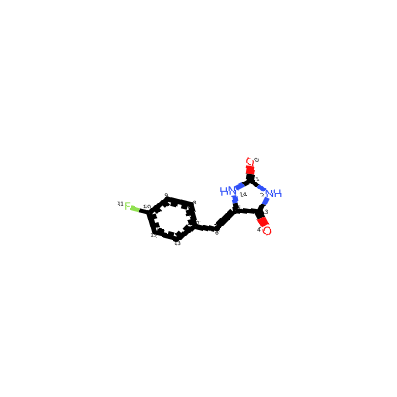 O=C1NC(=O)/C(=C/c2ccc(F)cc2)N1